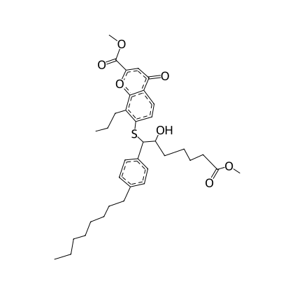 CCCCCCCCc1ccc(C(Sc2ccc3c(=O)cc(C(=O)OC)oc3c2CCC)C(O)CCCCC(=O)OC)cc1